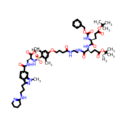 COC(=O)[C@H](CNC(=O)c1ccc2c(CCCNC3=NCCCC3)nn(C)c2c1)NS(=O)(=O)c1c(C)cc(OCCCC(=O)NCCNC(=O)[C@H](CCC(=O)OC(C)(C)C)NC(=O)[C@H](CCC(=O)OC(C)(C)C)NC(=O)OCc2ccccc2)cc1C